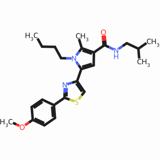 CCCCn1c(-c2csc(-c3ccc(OC)cc3)n2)cc(C(=O)NCC(C)C)c1C